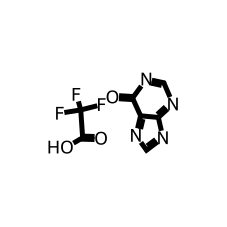 O=C(O)C(F)(F)F.O=C1N=CN=C2N=CN=C12